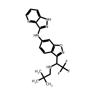 CC(C)(C)CNC(c1noc2cc(Nc3n[nH]c4cccnc34)ccc12)C(F)(F)F